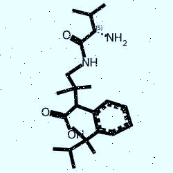 CC(C)[C@H](N)C(=O)NCC(C)(C)C(C(=O)O)c1ccccc1C(C)(C)C(C)C